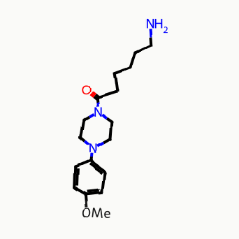 COc1ccc(N2CCN(C(=O)CCCCCN)CC2)cc1